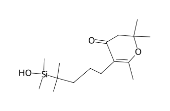 CC1=C(CCCC(C)(C)[Si](C)(C)O)C(=O)CC(C)(C)O1